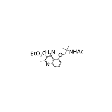 CCOC(=O)c1c(C)nc2cccc(OCC(C)(C)NC(C)=O)c2c1N